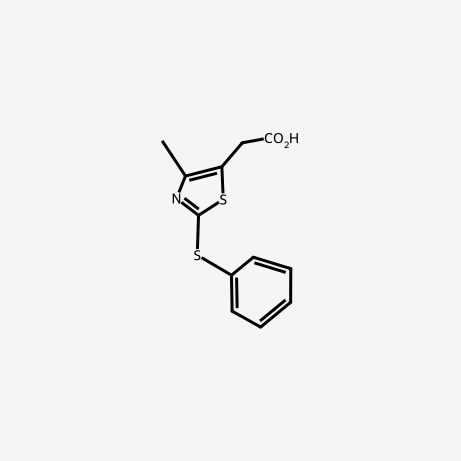 Cc1nc(Sc2ccccc2)sc1CC(=O)O